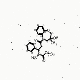 CN(C(=O)OC(C)(C)C)C(CC(=O)N1CC(C)(O)COc2ccccc21)c1ccccc1